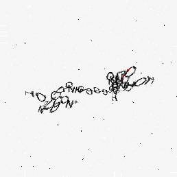 CN(C)c1ccc2c(-c3cc(C(=O)NCCOCCOCCOCCOCCC(=O)N[C@@H](Cc4ccc(O)cc4)C(=O)N[C@@H](Cc4ccccc4)C(=O)N4CCC[C@H]4C(N)=O)ccc3C(=O)O)c3ccc(=[N+](C)C)cc-3oc2c1